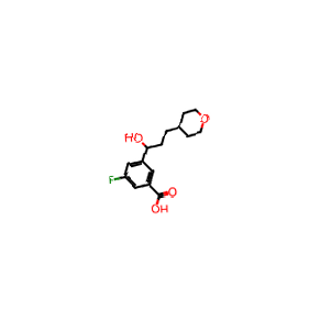 O=C(O)c1cc(F)cc(C(O)CCC2CCOCC2)c1